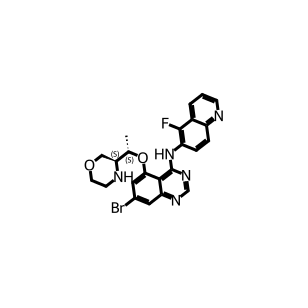 C[C@H](Oc1cc(Br)cc2ncnc(Nc3ccc4ncccc4c3F)c12)[C@@H]1COCCN1